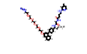 Cc1ccnc(NCCCC(=O)NCC(=O)N[C@@H](CC(=O)O)c2ccc(-c3cc(OCCOCCOCCOCCOCCN=[N+]=[N-])cc4ccccc34)cc2)c1